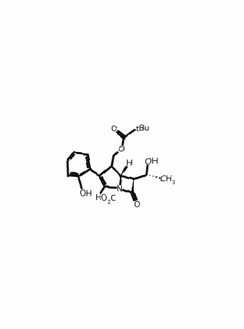 C[C@@H](O)[C@H]1C(=O)N2C(C(=O)O)=C(c3ccccc3O)C(COC(=O)C(C)(C)C)[C@H]12